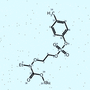 CCN(OCCOS(=O)(=O)Oc1ccc(C)cc1)C(=O)OC(C)(C)C